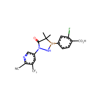 CC1(C)C(=O)N(c2cnc(C#N)c(C(F)(F)F)c2)N[SH]1c1ccc(C(=O)O)c(F)c1